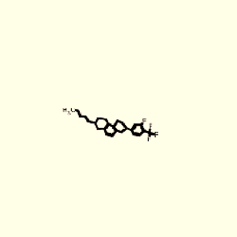 CCC/C=C/C1CCc2c(ccc3c2CCC(c2ccc(C(F)(F)F)c(F)c2)C3)C1